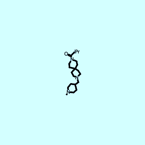 CC(C)C(=O)N1CCC2(CCN(CC3CCN(C)CC3)CC2)CC1